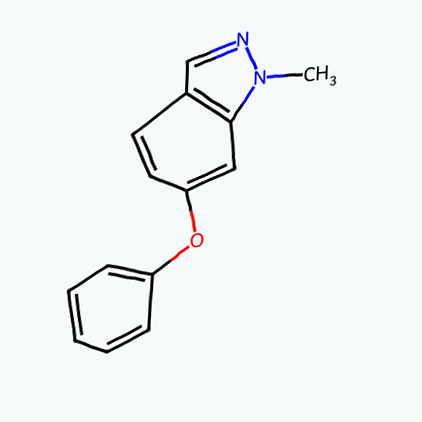 Cn1ncc2ccc(Oc3ccccc3)cc21